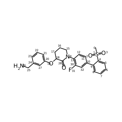 CS(=O)(=O)c1ccccc1-c1ccc(N2CCCC(Oc3cccc(CN)c3)C2=O)c(F)c1